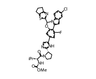 COC(=O)N[C@H](C(=O)N1CCC[C@H]1c1ncc(-c2cc(F)c3c(c2)OC(c2nc4c(s2)CCC4)n2c-3cc3cc(Cl)ccc32)[nH]1)C(C)C